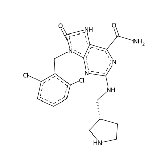 NC(=O)c1nc(NC[C@@H]2CCNC2)nc2c1[nH]c(=O)n2Cc1c(Cl)cccc1Cl